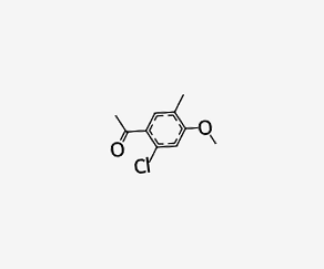 COc1cc(Cl)c(C(C)=O)cc1C